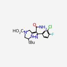 CC(C)(C)C1CN(C(=O)O)Cc2c(C(N)=O)c(-c3ccc(F)c(Cl)c3)nn21